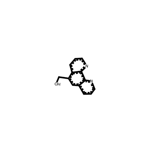 OCc1cc2cccnc2c2ncccc12